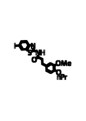 CCCOc1ccc(CCC(=O)Nc2nc3ccc(I)cc3s2)cc1OC